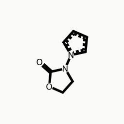 O=C1OCCN1n1cccc1